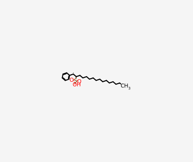 CCCCCCCCCCCCCCC([CH]c1ccccc1)S(=O)(=O)O